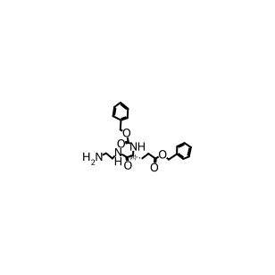 NCCNC(=O)[C@@H](CCC(=O)OCc1ccccc1)NC(=O)OCc1ccccc1